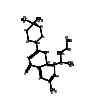 Cc1cc2c(=O)cc(N3CCC(C)(C)CC3)oc2c(C(C)NSC(C)(C)C)n1